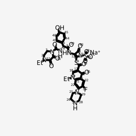 CCN1CCN(C(=O)N[C@@H](C(=O)NC2=C(SC(=O)c3cn(CC)c4cc(N5CCNCC5)c(F)cc4c3=O)N(S(=O)(=O)[O-])C2=O)c2ccc(O)cc2)C(=O)C1=O.[Na+]